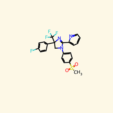 CS(=O)(=O)c1ccc(N2CC(c3ccc(F)cc3)(C(F)(F)F)N=C2c2ccccn2)cc1